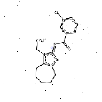 O=C(O)Cn1c2c(s/c1=N\C(=O)c1cccc(Cl)c1)CCCCC2